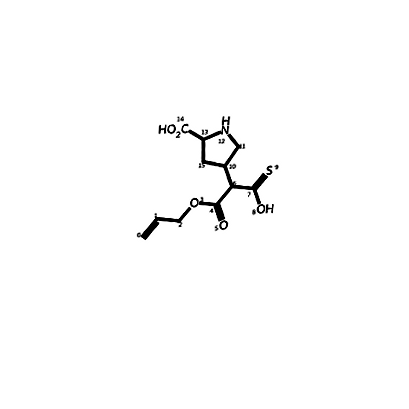 C=CCOC(=O)C(C(O)=S)C1CNC(C(=O)O)C1